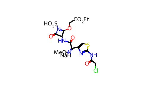 CCOC(=O)CO[C@H]1[C@H](NC(=O)C(=NOC)c2csc(NC(=O)CCl)n2)C(=O)N1S(=O)(=O)O.[NaH]